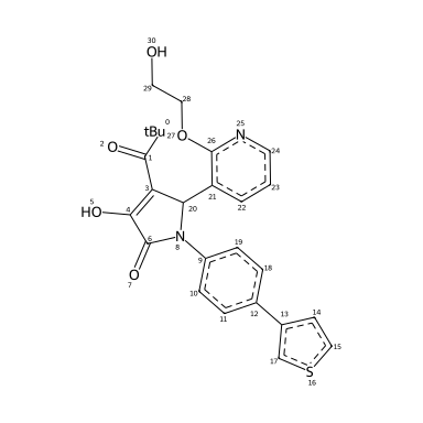 CC(C)(C)C(=O)C1=C(O)C(=O)N(c2ccc(-c3ccsc3)cc2)C1c1cccnc1OCCO